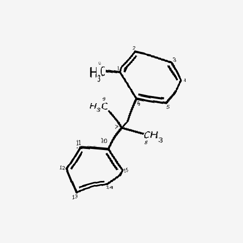 Cc1ccccc1C(C)(C)c1[c]cccc1